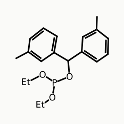 CCOP(OCC)OC(c1cccc(C)c1)c1cccc(C)c1